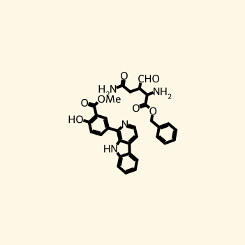 COC(=O)c1cc(-c2nccc3c2[nH]c2ccccc23)ccc1O.NC(=O)CC(C=O)C(N)C(=O)OCc1ccccc1